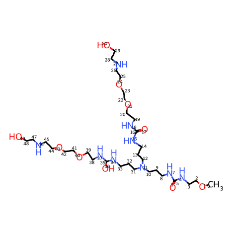 COCCNC(=O)NCCCN(CCCNC(=O)NCCOCCOCCNCCO)CCCNC(O)NCCOCCOCCNCCO